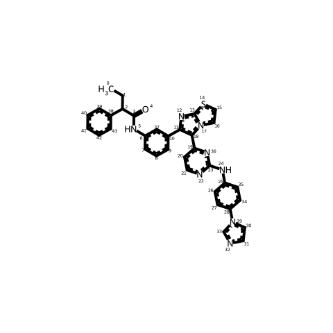 CCC(C(=O)Nc1cccc(-c2nc3sccn3c2-c2ccnc(Nc3ccc(-n4ccnc4)cc3)n2)c1)c1ccccc1